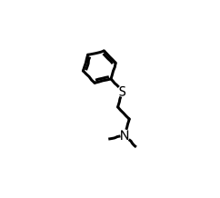 CN(C)CCSc1ccccc1